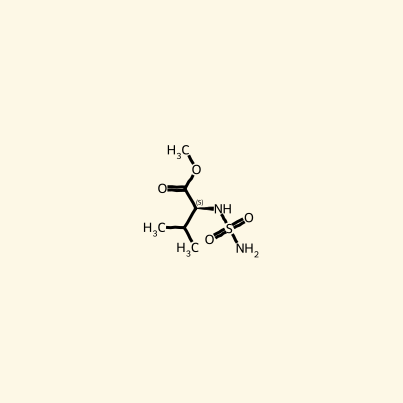 COC(=O)[C@@H](NS(N)(=O)=O)C(C)C